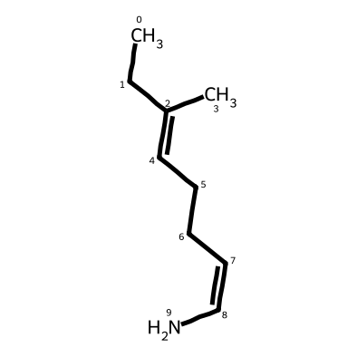 CC/C(C)=C/CC/C=C\N